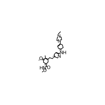 CCN1CCN(C2=CC[C@@H](NC3=CC[C@H](CCC4=C(C)[C@H](OC)C[C@H](C(=O)NOC)C4)C=N3)CC2)CC1